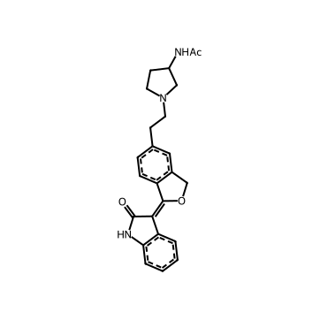 CC(=O)NC1CCN(CCc2ccc3c(c2)CO/C3=C2/C(=O)Nc3ccccc32)C1